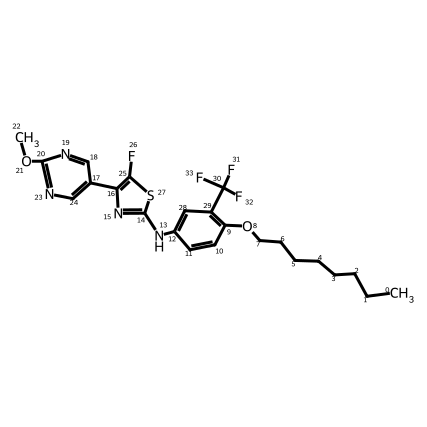 CCCCCCCCOc1ccc(Nc2nc(-c3cnc(OC)nc3)c(F)s2)cc1C(F)(F)F